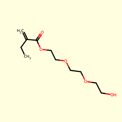 C=C(CC)C(=O)OCCOCCOCCO